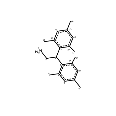 Cc1cc(C)c(C(CN)c2c(C)cc(C)cc2C)c(C)c1